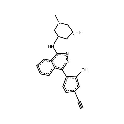 C#Cc1ccc(-c2nnc(NC3C[C@@H](F)CN(C)C3)c3ccccc23)c(O)c1